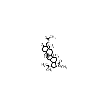 C=C(C)[C@@H]1CC[C@]2(C(=O)OC)CC[C@]3(C)C(CCC4[C@@]5(C)CCC(=O)[C@@](C)(COC(C)=O)[C@@H]5CC[C@]43C)C12